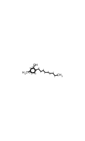 CCCCCCCCCc1ccc(C)cc1O